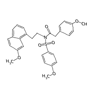 COc1ccc(CC(=O)N(CCc2cccc3ccc(OC)cc23)S(=O)(=O)c2ccc(OC)cc2)cc1